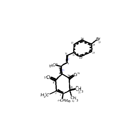 COC1=C(C)C(=O)/C(=C(O)/C=C/c2ccc(Br)cc2)C(=O)C1(C)C